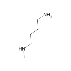 CNCCCCN